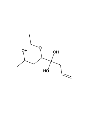 C=CCC(O)(O)C(CC(C)O)OCC